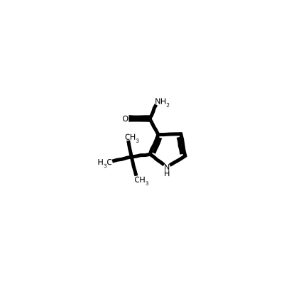 CC(C)(C)c1[nH]ccc1C(N)=O